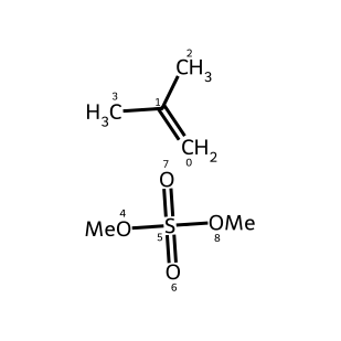 C=C(C)C.COS(=O)(=O)OC